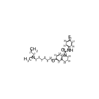 C=CCN(C)CCCCCCOc1ccc2c(c1)CCCN2C(=O)Nc1ccc(F)cc1